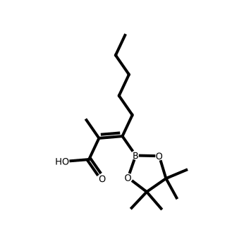 CCCCC/C(B1OC(C)(C)C(C)(C)O1)=C(\C)C(=O)O